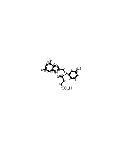 CCc1cccc(N(Cc2nc3cc(F)cc(F)c3s2)C(=O)CCC(=O)O)c1